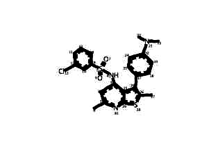 Cc1cc(NS(=O)(=O)c2cccc(Cl)c2)c2c(-c3ccc(N(C)C)cc3)c(C)sc2n1